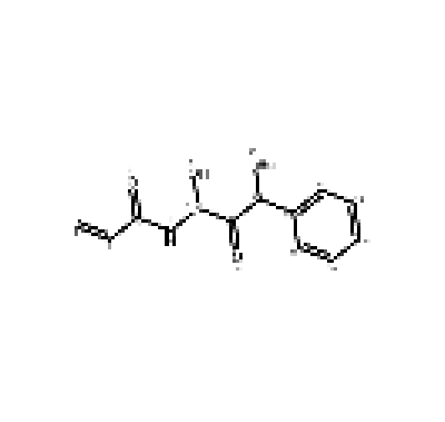 C=CC(=O)NN(O)C(=O)C(CCCC)c1ccccc1